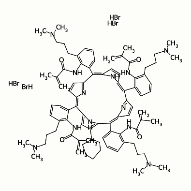 Br.Br.Br.Br.C=C(C)C(=O)Nc1c(CCCN(C)C)cccc1-c1c2nc(c(-c3cccc(CCCN(C)C)c3NC(=O)C(=C)C)c3cc(C4CCCCC4)c([nH]3)c(-c3cccc(CCCN(C)C)c3NC(=O)C(=C)C)c3nc(c(-c4cccc(CCCN(C)C)c4NC(=O)C(=C)C)c4ccc1[nH]4)C=C3)C=C2